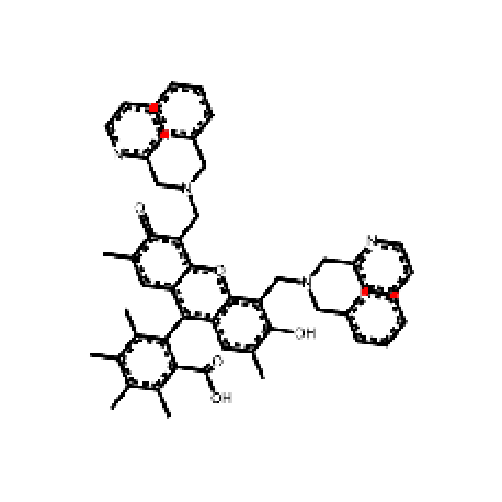 Cc1cc2c(-c3c(C)c(C)c(C)c(C)c3C(=O)O)c3cc(C)c(=O)c(CN(Cc4ccccn4)Cc4ccccn4)c-3oc2c(CN(Cc2ccccn2)Cc2ccccn2)c1O